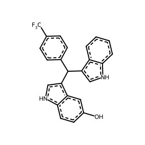 Oc1ccc2[nH]cc(C(c3ccc(C(F)(F)F)cc3)c3c[nH]c4ccccc34)c2c1